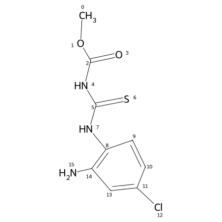 COC(=O)NC(=S)Nc1ccc(Cl)cc1N